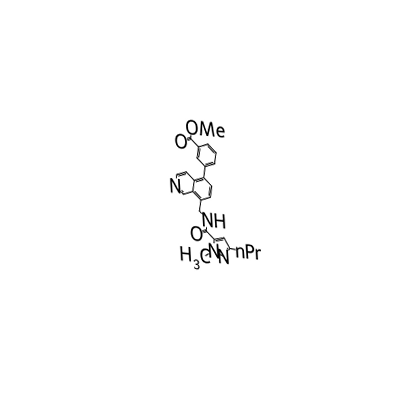 CCCc1cc(C(=O)NCc2ccc(-c3cccc(C(=O)OC)c3)c3ccncc23)n(C)n1